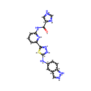 O=C(Nc1cccc(-c2nnc(Nc3ccc4[nH]ncc4c3)s2)n1)c1c[nH]cn1